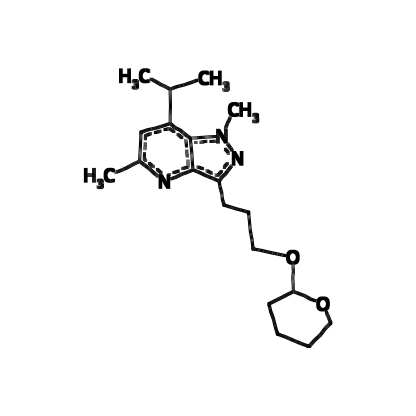 Cc1cc(C(C)C)c2c(n1)c(CCCOC1CCCCO1)nn2C